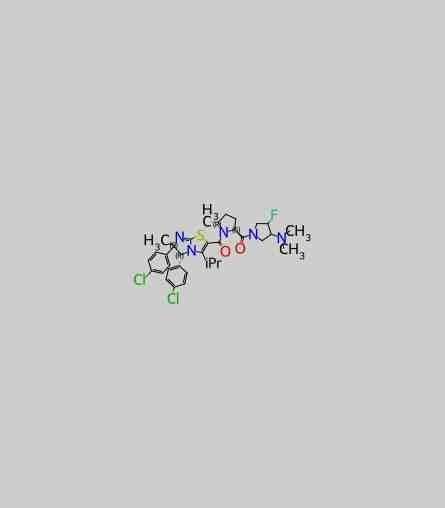 CC(C)C1=C(C(=O)N2[C@H](C)CC[C@H]2C(=O)N2CC(F)C(N(C)C)C2)SC2=N[C@@](C)(c3ccc(Cl)cc3)[C@@H](c3ccc(Cl)cc3)N21